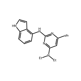 CCCc1cc(N(CC)CC)nc(Nc2cccc3[nH]ccc23)n1